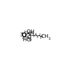 CCCCCCOC(=O)C(O)c1ccccc1.Cl